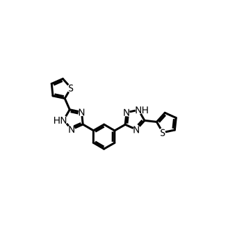 c1cc(-c2n[nH]c(-c3cccs3)n2)cc(-c2n[nH]c(-c3cccs3)n2)c1